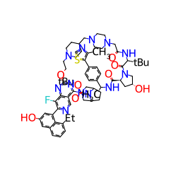 CCc1cccc2cc(O)cc(-c3ncc4c(N5CC6CCC(C5)N6C(=O)OC(C)(C)C)nc(OCCN5CCC(CN6CCN(CC(=O)NC(C(=O)N7C[C@H](O)C[C@H]7C(=O)NC(C)c7ccc(-c8scnc8C)cc7)C(C)(C)C)CC6)CC5)nc4c3F)c12